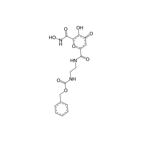 O=C(NCCNC(=O)c1cc(=O)c(O)c(C(=O)NO)o1)OCc1ccccc1